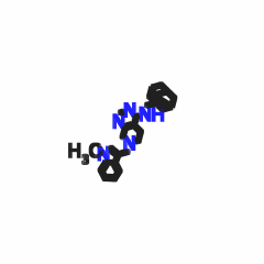 Cn1cc(CN2CCc3c(ncnc3NCC34CC5CC(CC(C5)C3)C4)C2)c2ccccc21